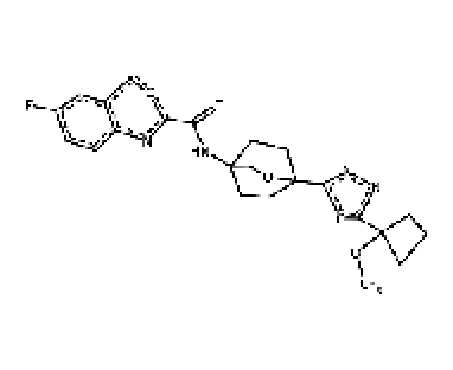 O=C(NC12CCC(c3nnc(C4(OC(F)(F)F)CCC4)o3)(CC1)OC2)c1ccc2cc(F)ccc2n1